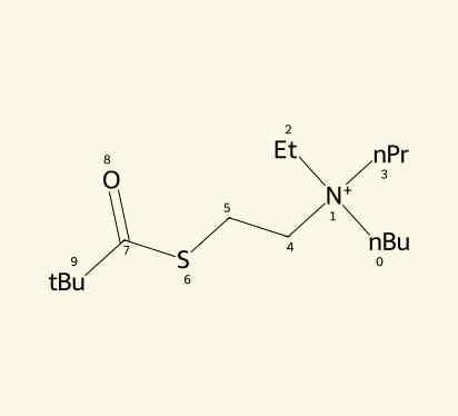 CCCC[N+](CC)(CCC)CCSC(=O)C(C)(C)C